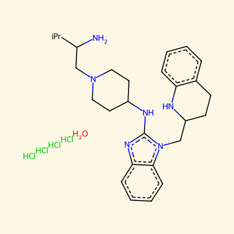 CC(C)C(N)CN1CCC(Nc2nc3ccccc3n2CC2CCc3ccccc3N2)CC1.Cl.Cl.Cl.Cl.O